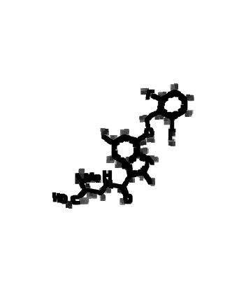 CN[C@@H](CNC(=O)c1c(C)nc2c(OCc3c(F)cccc3F)cc(C)cn12)C(=O)O